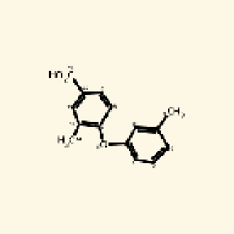 Cc1cccc(Oc2ccc(C(=O)O)cc2C)c1